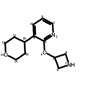 c1cnc(OC2CNC2)c(C2CCOCC2)c1